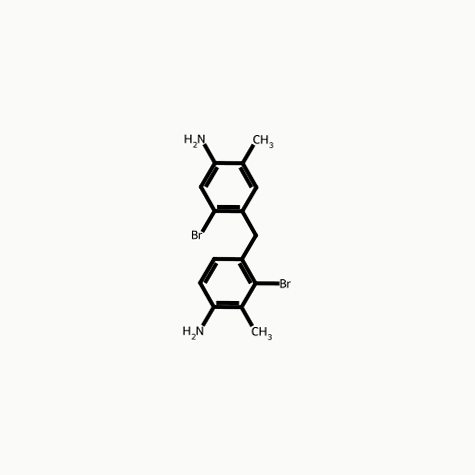 Cc1cc(Cc2ccc(N)c(C)c2Br)c(Br)cc1N